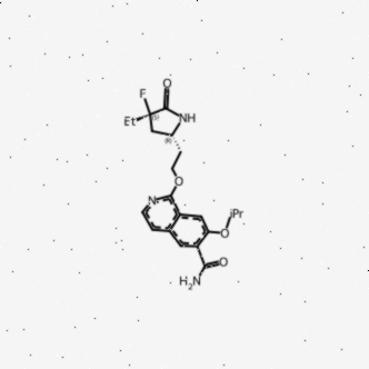 CC[C@]1(F)C[C@@H](CCOc2nccc3cc(C(N)=O)c(OC(C)C)cc23)NC1=O